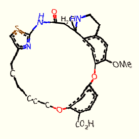 COc1cc2c3cc1Oc1ccc(C(=O)O)c(c1)OCCCCCCc1csc(n1)NC(=O)CC3(C)NCC2